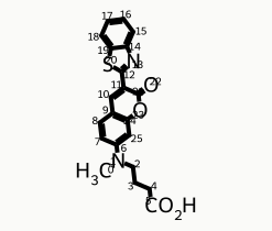 CN(CCCC(=O)O)c1ccc2cc(-c3nc4ccccc4s3)c(=O)oc2c1